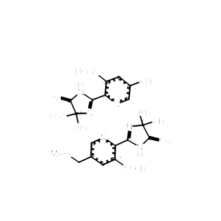 COCc1cnc(C2=NC(C)(C(C)C)C(=O)N2)c(C(=O)O)c1.Cc1cnc(C2=NC(C)(C(C)C)C(=O)N2)c(C(=O)O)c1